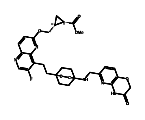 COC(=O)[C@H]1C[C@H]1COc1ccc2ncc(F)c(CCC34CCC(NCc5ccc6c(n5)NC(=O)CO6)(CC3)CO4)c2n1